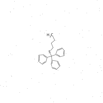 C[CH]CCSC(c1ccccc1)(c1ccccc1)c1ccccc1